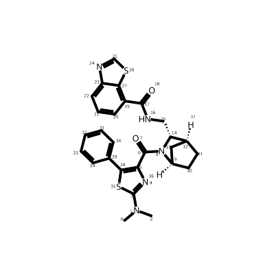 CN(C)c1nc(C(=O)N2[C@@H]3CC[C@@H](C3)[C@H]2CNC(=O)c2cccc3ncsc23)c(-c2ccccc2)s1